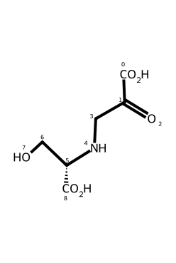 O=C(O)C(=O)CN[C@@H](CO)C(=O)O